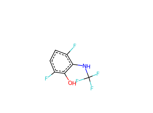 Oc1c(F)ccc(F)c1NC(F)(F)F